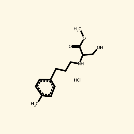 COC(=O)C(CO)NCCCc1ccc(C)cc1.Cl